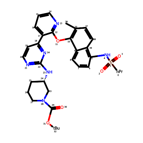 CCCS(=O)(=O)Nc1cccc2c(Oc3ncccc3-c3ccnc(N[C@H]4CCCN(C(=O)OC(C)(C)C)C4)n3)c(C)ccc12